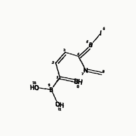 B=C(/C=C\C(=B/I)N=C)B(O)O